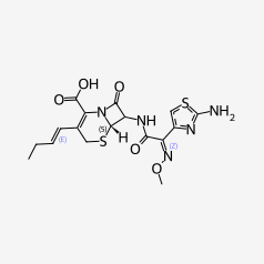 CC/C=C/C1=C(C(=O)O)N2C(=O)C(NC(=O)/C(=N\OC)c3csc(N)n3)[C@@H]2SC1